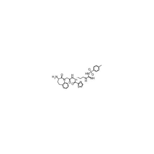 Cc1ccc(S(=O)(=O)NC(=N)NCCC[C@@H](NC(=O)CN2C(=O)C(N)CCc3ccccc32)C(=O)c2nccs2)cc1